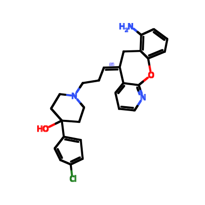 Nc1cccc2c1C/C(=C/CCN1CCC(O)(c3ccc(Cl)cc3)CC1)c1cccnc1O2